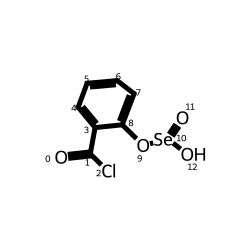 O=C(Cl)c1ccccc1O[Se](=O)O